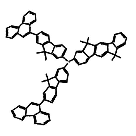 CC1(C)c2cc(-c3cc4ccccc4c4ccccc34)ccc2-c2ccc(N(c3ccc4c(c3)C(C)(C)c3cc(-c5cc6ccccc6c6ccccc56)ccc3-4)c3ccc4c(c3)C(C)(C)c3cc5c(cc3-4)C(C)(C)c3ccccc3-5)cc21